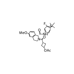 COc1ccc2c(c1)CCN(C(=O)C1CC(OC(C)=O)C1)[C@H]2C(=O)Nc1ccc([Si](C)(C)C)c(F)c1